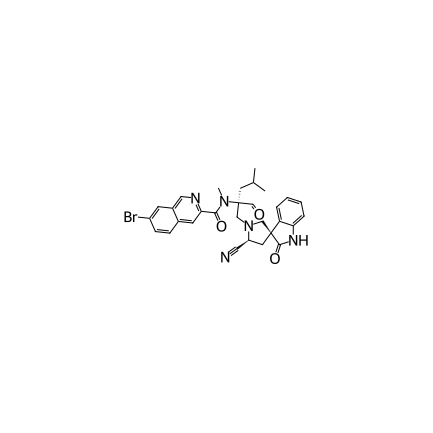 CC(C)C[C@](C=O)(CN1C[C@]2(C[C@H]1C#N)C(=O)Nc1ccccc12)N(C)C(=O)c1cc2ccc(Br)cc2cn1